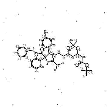 CC(C)C1=CC(C(=O)OCc2ccccc2)(c2ccccc2)C(c2ccc(F)cc2)N1CCC1CC(CC(=O)OC(C)(C)C)OC(C)(C)O1